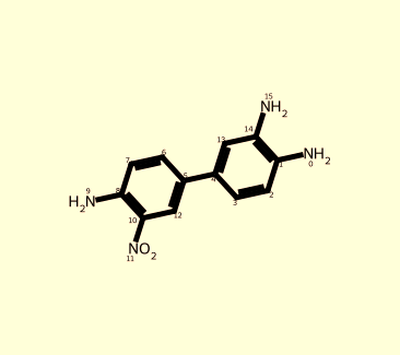 Nc1ccc(-c2ccc(N)c([N+](=O)[O-])c2)cc1N